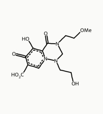 COCCN1CN(CCO)n2cc(C(=O)O)c(=O)c(O)c2C1=O